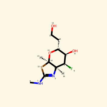 CNC1=N[C@@H]2[C@H](F)[C@H](O)[C@@H](CCO)O[C@@H]2S1